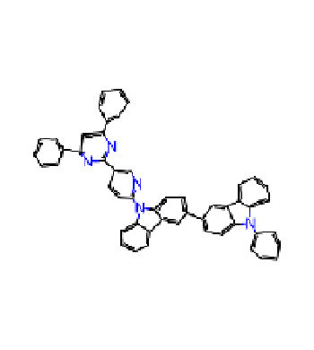 c1ccc(-c2cc(-c3ccccc3)nc(-c3ccc(-n4c5ccccc5c5cc(-c6ccc7c(c6)c6ccccc6n7-c6ccccc6)ccc54)nc3)n2)cc1